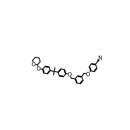 CC(C)(c1ccc(OCc2cccc(COc3ccc(C#N)cc3)c2)cc1)c1ccc(OC2CCCCO2)cc1